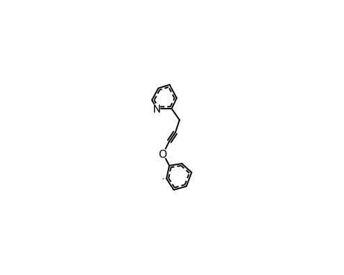 C(#COc1[c]cccc1)Cc1ccccn1